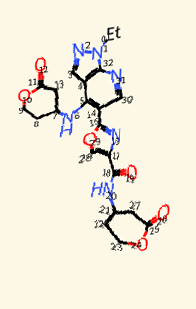 CCn1ncc2c(NC3CCOC(=O)C3)c(-c3nc(C(=O)NC4CCOC(=O)C4)co3)cnc21